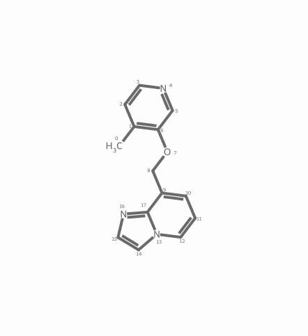 Cc1ccncc1OCc1cccn2ccnc12